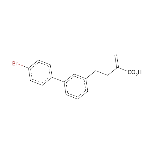 C=C(CCc1cccc(-c2ccc(Br)cc2)c1)C(=O)O